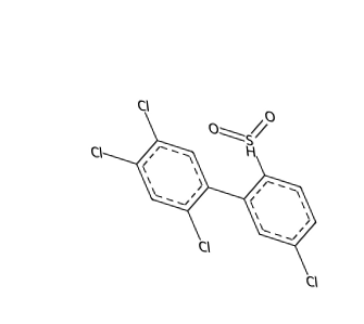 O=[SH](=O)c1ccc(Cl)cc1-c1cc(Cl)c(Cl)cc1Cl